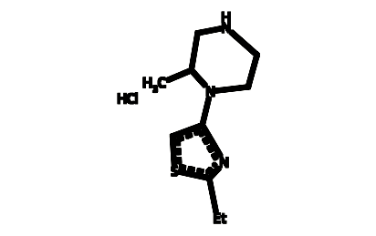 CCc1nc(N2CCNCC2C)cs1.Cl